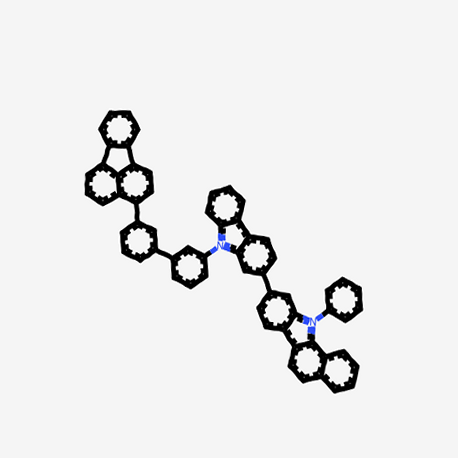 c1ccc(-n2c3cc(-c4ccc5c6ccccc6n(-c6cccc(-c7cccc(-c8ccc9c%10c(cccc8%10)-c8ccccc8-9)c7)c6)c5c4)ccc3c3ccc4ccccc4c32)cc1